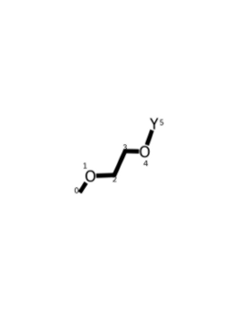 COCC[O][Y]